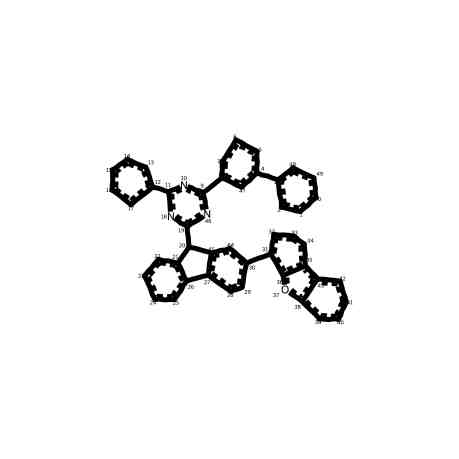 c1ccc(-c2cccc(-c3nc(-c4ccccc4)nc(C4c5ccccc5-c5ccc(-c6cccc7c6oc6ccccc67)cc54)n3)c2)cc1